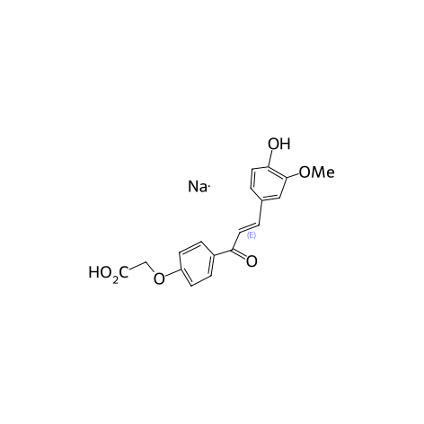 COc1cc(/C=C/C(=O)c2ccc(OCC(=O)O)cc2)ccc1O.[Na]